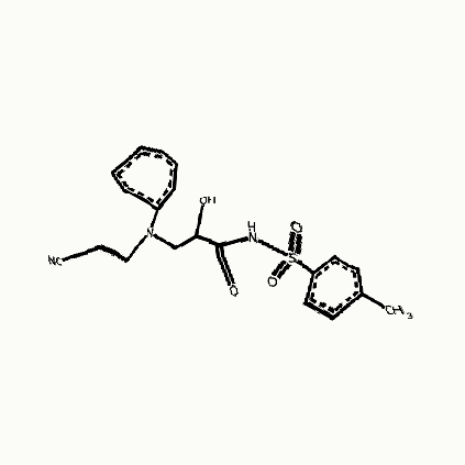 Cc1ccc(S(=O)(=O)NC(=O)C(O)CN(CCC#N)c2ccccc2)cc1